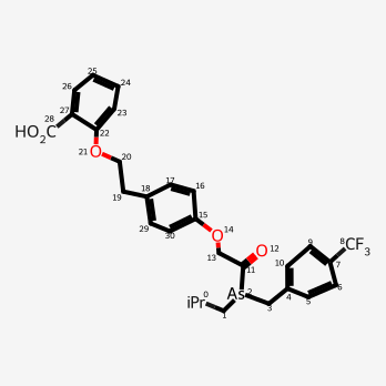 CC(C)C[As](Cc1ccc(C(F)(F)F)cc1)C(=O)COc1ccc(CCOc2ccccc2C(=O)O)cc1